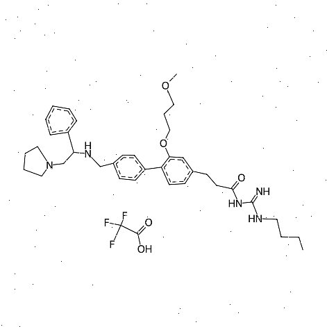 CCCCNC(=N)NC(=O)CCc1ccc(-c2ccc(CNC(CN3CCCC3)c3ccccc3)cc2)c(OCCCOC)c1.O=C(O)C(F)(F)F